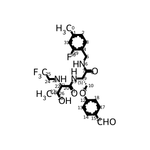 Cc1ccc(CNC(=O)[C@H](COc2ccc(C=O)cc2)NC(=O)[C@@H](NCC(F)(F)F)[C@@H](C)O)c(F)c1